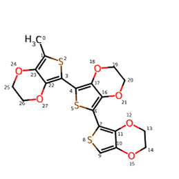 Cc1sc(-c2sc(-c3scc4c3OCCO4)c3c2OCCO3)c2c1OCCO2